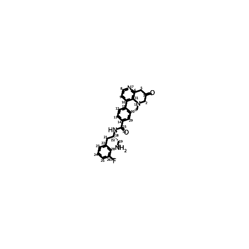 CN1CC(=O)Cc2nccc(-c3ccc(C(=O)N[C@H](CN)Cc4cccc(F)c4)cc3)c21